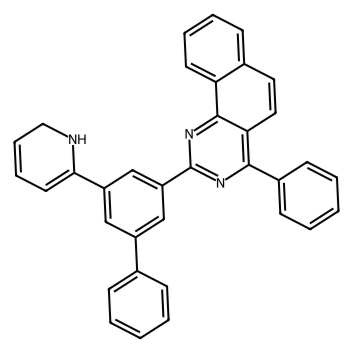 C1=CCNC(c2cc(-c3ccccc3)cc(-c3nc(-c4ccccc4)c4ccc5ccccc5c4n3)c2)=C1